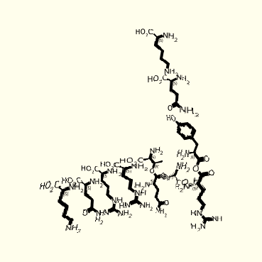 CC[C@H](C)[C@H](N)C(=O)O.C[C@@H](OC(=O)[C@@H](N)CCC(N)=O)[C@H](N)C(=O)O.N=C(N)NCCC[C@H](N)C(=O)O.N=C(N)NCCC[C@H](N)C(=O)O.N=C(N)NCCC[C@H](N)C(=O)OC(=O)[C@@H](N)Cc1ccc(O)cc1.NC(=O)CC[C@H](N)C(=O)O.NC(=O)CC[C@H](N)C(=O)O.NCCCC[C@H](N)C(=O)O.NCCCC[C@H](N)C(=O)O